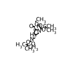 CCOC(=O)[C@@H]1C[C@@H](CNC(=O)OC(C)(C)C)CN1C(=O)OC(C)(C)C